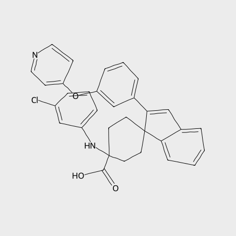 O=C(O)C1(Nc2cccc(Cl)c2)CCC2(CC1)C(c1cccc(Oc3ccncc3)c1)=Cc1ccccc12